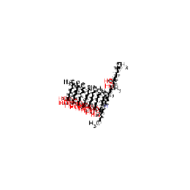 CCCCCCCC/C=C/CCCCCCCC.CCCCCCCCC(O)CO.CCCCCCCCC(O)CO.CCCCCCCCC(O)CO.CCCCCCCCC(O)CO.CCCCCCCCC(O)CO.CCCCCCCCC(O)CO.CCCCCCCCC(O)CO.CCCCCCCCC(O)CO